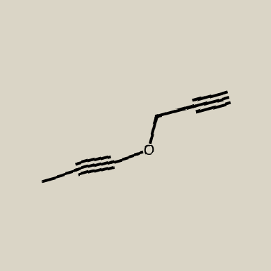 C#CCOC#CC